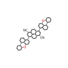 N#Cc1cc(-c2ccc3c4c(cccc24)-c2ccccc2O3)c2ccc3c(C#N)cc(-c4ccc5c6c(cccc46)-c4ccccc4O5)c4ccc1c2c34